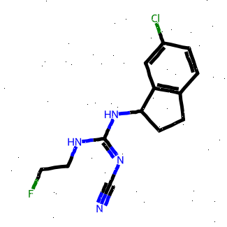 N#CN=C(NCCF)NC1CCc2ccc(Cl)cc21